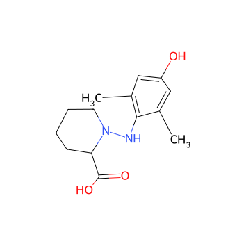 Cc1cc(O)cc(C)c1NN1CCCCC1C(=O)O